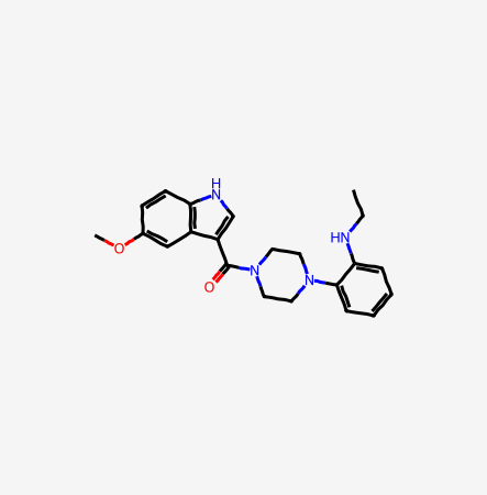 CCNc1ccccc1N1CCN(C(=O)c2c[nH]c3ccc(OC)cc23)CC1